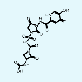 O=C(O)N[C@H]1CN(C(=O)NS(=O)(=O)N2CC(=O)N(NC(=O)c3cc(=O)c(O)c[nH]3)C2=O)C1=O